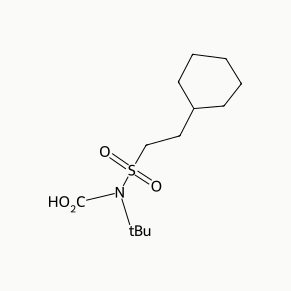 CC(C)(C)N(C(=O)O)S(=O)(=O)CCC1CCCCC1